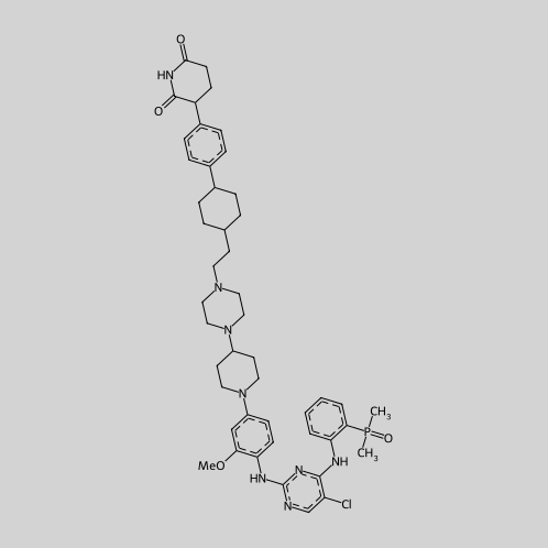 COc1cc(N2CCC(N3CCN(CCC4CCC(c5ccc(C6CCC(=O)NC6=O)cc5)CC4)CC3)CC2)ccc1Nc1ncc(Cl)c(Nc2ccccc2P(C)(C)=O)n1